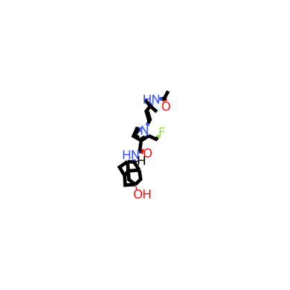 CC(=O)NC(C)(C)/C=C/n1ccc(C(=O)N[C@H]2C3CC4CC2C[C@](O)(C4)C3)c1CF